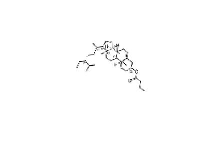 CCCC(=O)O[C@H]1CC[C@@]2(C)C(=CC[C@H]3[C@@H]4CC[C@H]([C@H](C)CC[C@@H](CC)C(C)C)[C@@]4(C)CC[C@@H]32)C1